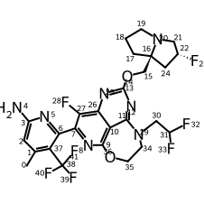 Cc1cc(N)nc(-c2nc3c4c(nc(OC[C@@]56CCCN5C[C@H](F)C6)nc4c2F)N(CC(F)F)CCO3)c1C(F)(F)F